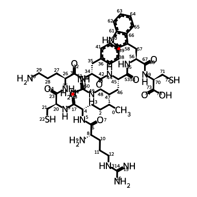 CCCC[C@H](NC(=O)[C@@H](N)CCCNC(=N)N)C(=O)N[C@@H](CS)C(=O)N[C@@H](CCCN)C(=O)N[C@H](Cc1ccccc1)C(=O)N[C@@H](CCCNC(=N)N)C(=O)N[C@@H](Cc1c[nH]c2ccccc12)C(=O)N[C@@H](CS)C(=O)O